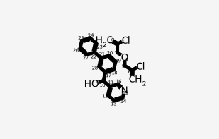 C=C(Cl)COCC(=C)Cl.OC(c1cccnc1)c1cccc(-c2ccccc2)c1